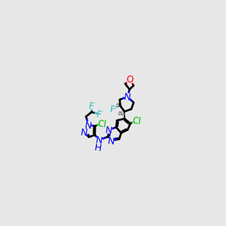 FC(F)Cn1ncc(Nc2ncc3cc(Cl)c([C@@H]4CCN(C5COC5)C[C@H]4F)cc3n2)c1Cl